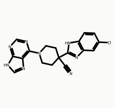 N#CC1(c2nc3cc(Cl)ccc3[nH]2)CCN(c2ncnc3[nH]cnc23)CC1